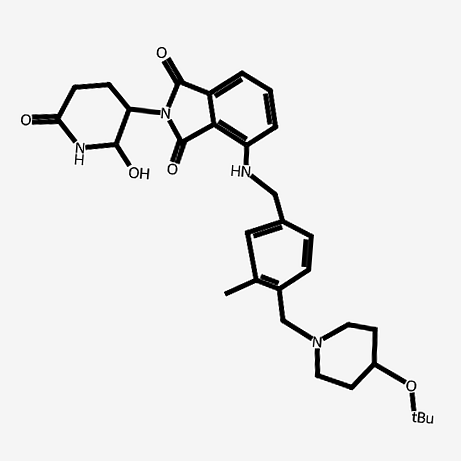 Cc1cc(CNc2cccc3c2C(=O)N(C2CCC(=O)NC2O)C3=O)ccc1CN1CCC(OC(C)(C)C)CC1